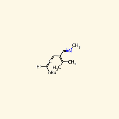 CCCCC(=C=CC(/C=N/C)=C(C)C)CC